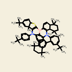 Cc1cc2c3c(c1)N(c1ccc(C(C)(C)C)cc1)C1=C(SC4C=CC(C(C)(C)C)=CC14C)B3C1=C(C3C(C=C1)C(C)(C)CCC3(C)C)N2C1=C[C@H](C)C=C(C(C)(C)C)C=C1c1ccc2c(c1)C(C)(C)CCC2(C)C